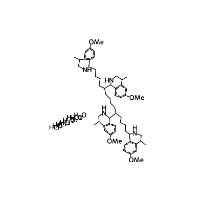 COc1ccc2c(c1)C(C)CNC2CCCCC(CCCCC(CCCCC1NCC(C)c2cc(OC)ccc21)C1NCC(C)c2cc(OC)ccc21)C1NCC(C)c2cc(OC)ccc21.Cl.Cl.Cl.Cl.O.O.O.O